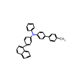 Cc1ccc(-c2ccc(N(c3ccccc3)c3ccc(-c4cccc5ccccc45)cc3)cc2)cc1